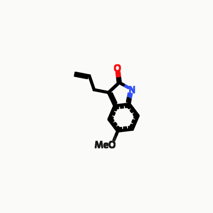 C=CCC1=c2cc(OC)ccc2=NC1=O